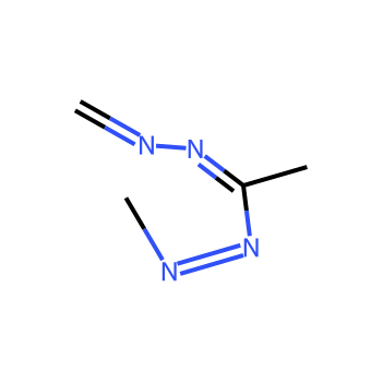 C=N/N=C(C)\N=N/C